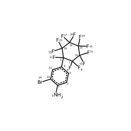 Nc1ccc(C2(F)C(F)(F)C(F)(F)C(F)(F)C(F)(F)C2(F)F)cc1Br